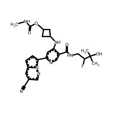 CNC(=O)OC1CC(Nc2cc(-c3ccc4cc(C#N)cnn34)ncc2C(=O)NCC(F)C(C)(C)O)C1